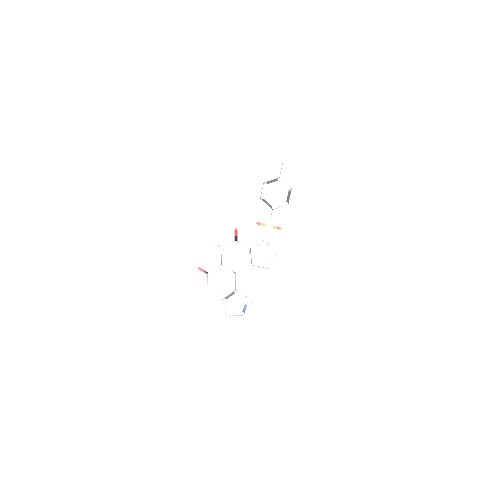 Cc1ccc(S(=O)(=O)N2CCC[C@H]2C(=O)N(C)[C@@H](Cc2c[nH]cn2)C(=O)O)cc1